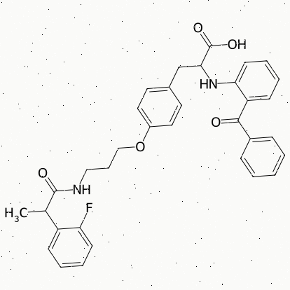 CC(C(=O)NCCCOc1ccc(CC(Nc2ccccc2C(=O)c2ccccc2)C(=O)O)cc1)c1ccccc1F